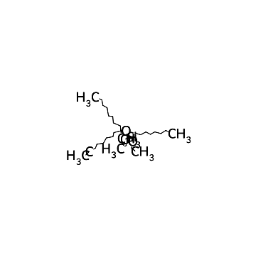 CCCCCCCCC(C)(CCCCCCCC)O[Si](CCCCCCCC)(OCC)OCC